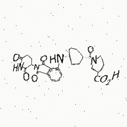 O=C1CCC(N2C(=O)c3cccc(N[C@H]4CC[C@@H](C(=O)N5CCC(C(=O)O)C5)CC4)c3C2=O)C(=O)N1